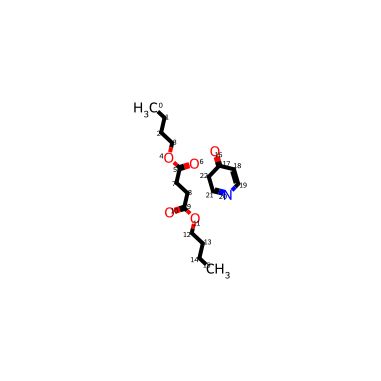 CCCCOC(=O)CCC(=O)OCCCC.O=C1C=CN=CC1